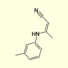 C/C(=C/C#N)Nc1cccc(C)c1